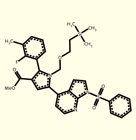 COC(=O)c1cc(-c2ccnc3c2ccn3S(=O)(=O)c2ccccc2)n(COCC[Si](C)(C)C)c1-c1cccc(C)c1F